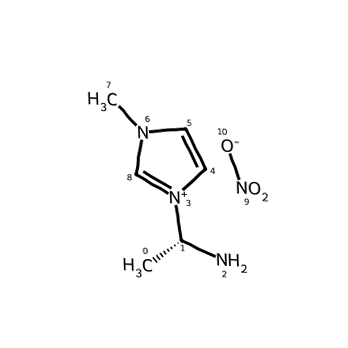 C[C@@H](N)[n+]1ccn(C)c1.O=[N+]([O-])[O-]